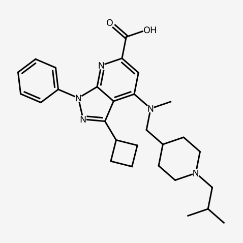 CC(C)CN1CCC(CN(C)c2cc(C(=O)O)nc3c2c(C2CCC2)nn3-c2ccccc2)CC1